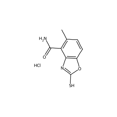 Cc1ccc2oc(S)nc2c1C(N)=O.Cl